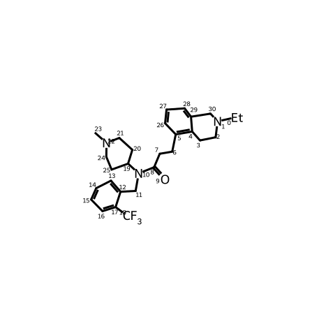 CCN1CCc2c(CCC(=O)N(Cc3ccccc3C(F)(F)F)C3CCN(C)CC3)cccc2C1